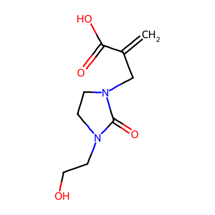 C=C(CN1CCN(CCO)C1=O)C(=O)O